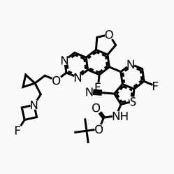 CC(C)(C)OC(=O)Nc1sc2c(F)cnc(-c3c4c(c5cnc(OCC6(CN7CC(F)C7)CC6)nc5c3F)COC4)c2c1C#N